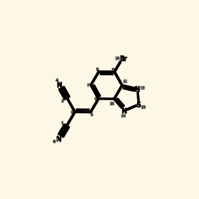 N#CC(C#N)=Cc1ccc(Br)c2nsnc12